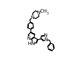 CN1CCN(Cc2ccc(-c3cnc4[nH]cc(-c5cnn(Cc6ccccc6)c5)c4c3)cc2)CC1